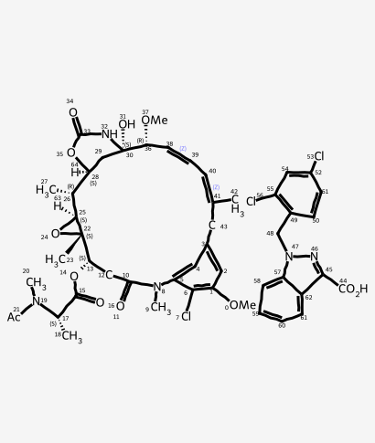 COc1cc2cc(c1Cl)N(C)C(=O)C[C@H](OC(=O)[C@H](C)N(C)C(C)=O)[C@]1(C)O[C@H]1[C@H](C)[C@@H]1C[C@@](O)(NC(=O)O1)[C@H](OC)/C=C\C=C(\C)C2.O=C(O)c1nn(Cc2ccc(Cl)cc2Cl)c2ccccc12